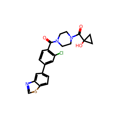 O=C(c1ccc(-c2ccc3scnc3c2)cc1Cl)N1CCN(C(=O)C2(O)CC2)CC1